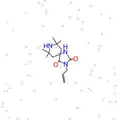 C=CCN1C(=O)NC2(CC(C)(C)NC(C)(C)C2)C1=O